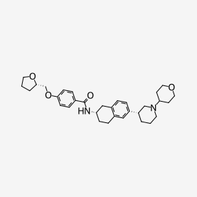 O=C(N[C@H]1CCc2cc([C@H]3CCCN(C4CCOCC4)C3)ccc2C1)c1ccc(OC[C@@H]2CCCO2)cc1